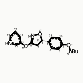 CCCCOc1ccc([C@@H]2CC(Oc3cccnc3)=NO2)cc1